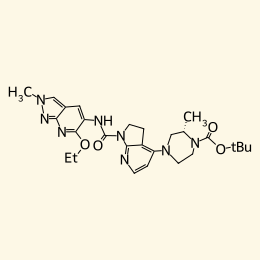 CCOc1nc2nn(C)cc2cc1NC(=O)N1CCc2c(N3CCN(C(=O)OC(C)(C)C)[C@@H](C)C3)ccnc21